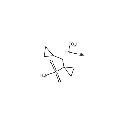 CC(C)(C)NC(=O)O.NS(=O)(=O)C1(CC2CC2)CC1